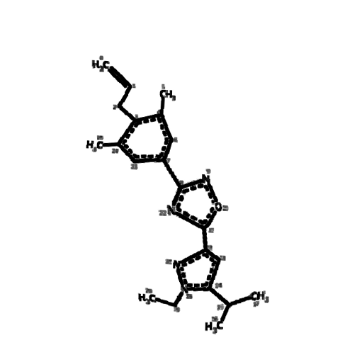 C=CCc1c(C)cc(-c2noc(-c3cc(C(C)C)n(CC)n3)n2)cc1C